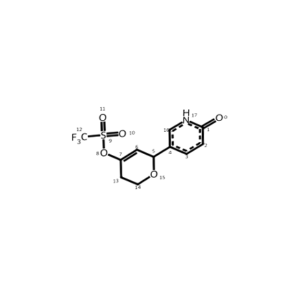 O=c1ccc(C2C=C(OS(=O)(=O)C(F)(F)F)CCO2)c[nH]1